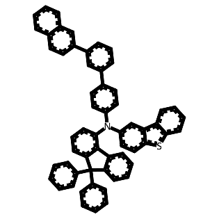 c1ccc(C2(c3ccccc3)c3ccccc3-c3c(N(c4ccc(-c5cccc(-c6ccc7ccccc7c6)c5)cc4)c4ccc5sc6ccccc6c5c4)cccc32)cc1